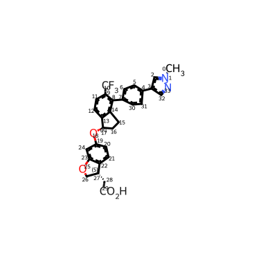 Cn1cc(-c2ccc(-c3c(C(F)(F)F)ccc4c3CC[C@H]4Oc3ccc4c(c3)OC[C@H]4CC(=O)O)cc2)cn1